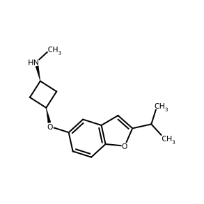 CN[C@H]1C[C@@H](Oc2ccc3oc(C(C)C)cc3c2)C1